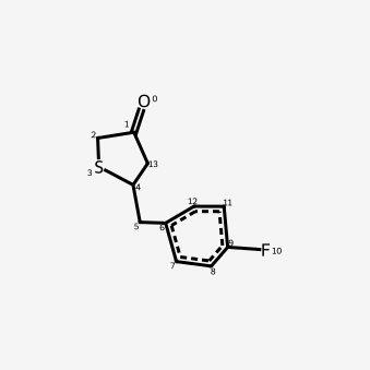 O=C1CSC(Cc2ccc(F)cc2)C1